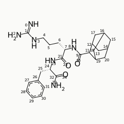 N=C(N)NCCC[C@H](NC(=O)C1C2CC3CC(C2)CC1C3)C(=O)N[C@@H](Cc1ccccc1)C(N)=O